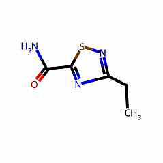 CCc1nsc(C(N)=O)n1